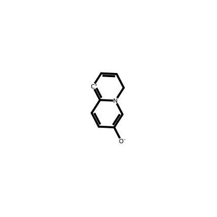 [O-]C1=CN2CC=C[C+]=C2C=C1